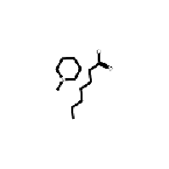 CCCCCCC(=O)O.CN1CCCCC1